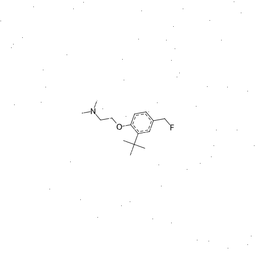 CN(C)CCOc1ccc(CF)cc1C(C)(C)C